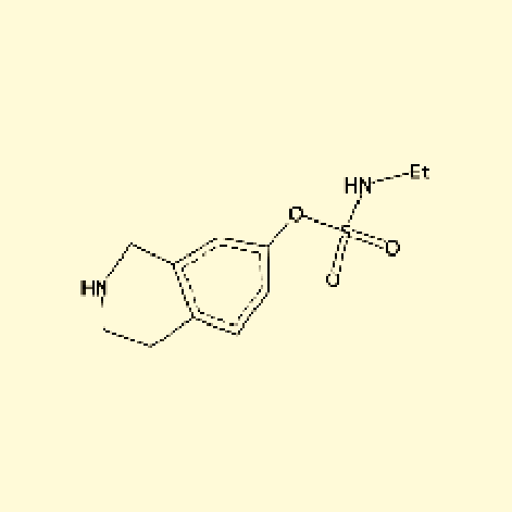 CCNS(=O)(=O)Oc1ccc2c(c1)CNCC2